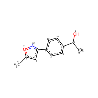 CC(C)(C)C(O)c1ccc(-c2cc(C(F)(F)F)on2)cc1